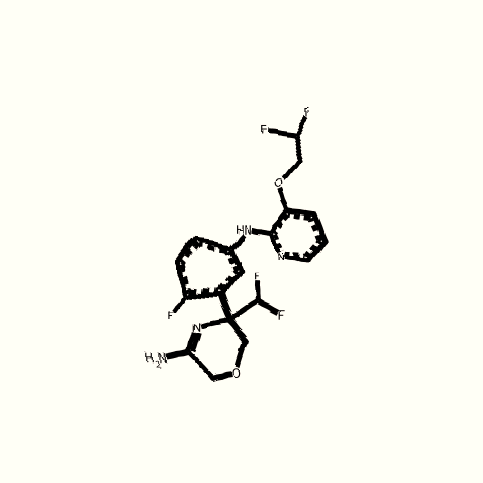 NC1=NC(c2cc(Nc3ncccc3OCC(F)F)ccc2F)(C(F)F)COC1